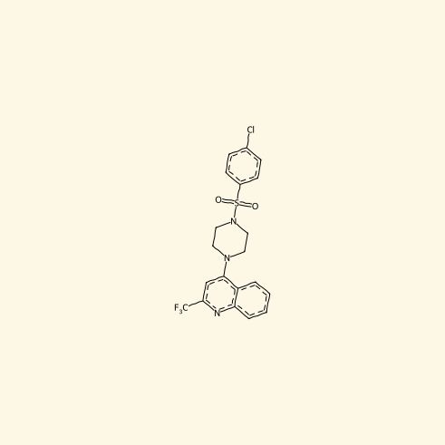 O=S(=O)(c1ccc(Cl)cc1)N1CCN(c2cc(C(F)(F)F)nc3ccccc23)CC1